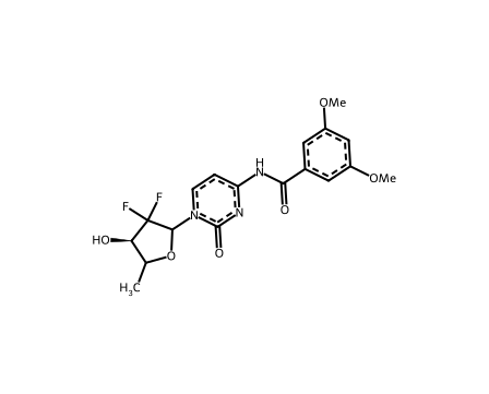 COc1cc(OC)cc(C(=O)Nc2ccn(C3OC(C)[C@@H](O)C3(F)F)c(=O)n2)c1